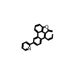 C=c1oc2cccc3c4cc(-c5ccccn5)ccc4c(/C=C\C)c1c23